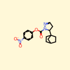 O=C(Oc1ccc([N+](=O)[O-])cc1)N1N=CCC1C12CCC(CC1)C2